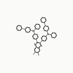 Cc1cc2nc(-c3ccc(N(c4ccccc4)c4ccc(-c5ccccc5)cc4)cc3)c(-c3ccc(N(c4ccccc4)c4ccc(-c5ccccc5)cc4)cc3)nc2cc1C